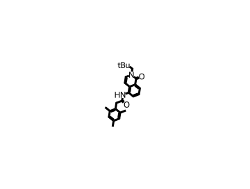 Cc1cc(C)c(CC(=O)Nc2cccc3c(=O)n(CC(C)(C)C)ccc23)c(C)c1